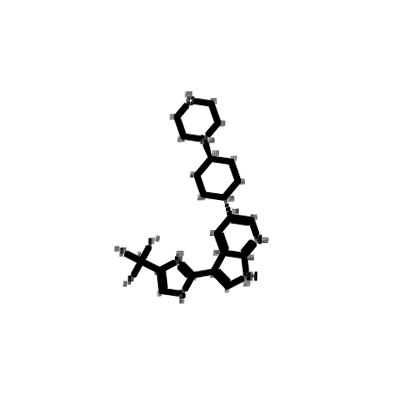 FC(F)(F)c1csc(-c2c[nH]c3ncc([C@H]4CC[C@H](N5CCOCC5)CC4)cc23)n1